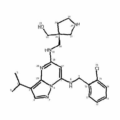 CC(C)c1cnn2c(NCc3ccccc3Cl)cc(NC[C@@]3(CO)CCNC3)nc12